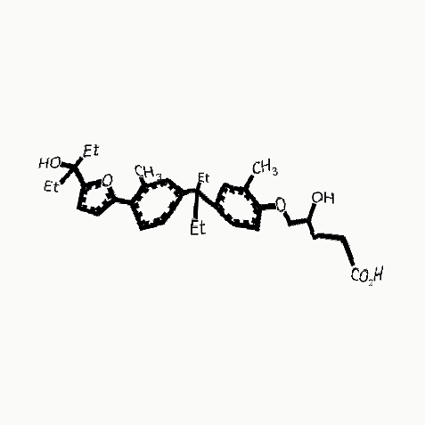 CCC(O)(CC)c1ccc(-c2ccc(C(CC)(CC)c3ccc(OCC(O)CCC(=O)O)c(C)c3)cc2C)o1